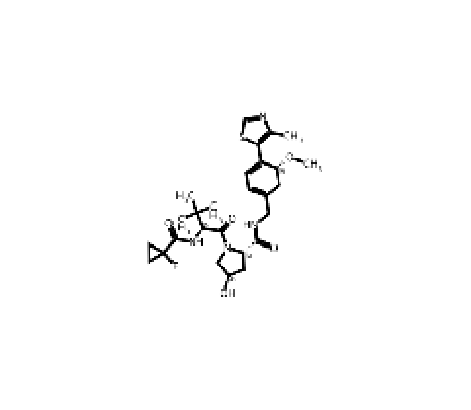 CO[C@@H]1CC(CNC(=O)[C@@H]2C[C@@H](O)CN2C(=O)[C@@H](NC(=O)C2(F)CC2)C(C)(C)C)=CC=C1c1scnc1C